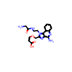 NCC(=O)NCCn1c(CO/C=C\C(=O)O)nc2c(N)nc3ccccc3c21